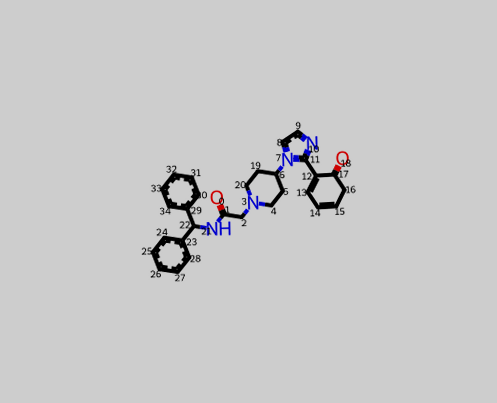 O=C(CN1CCC(n2ccnc2C2=CC=CCC2=O)CC1)NC(c1ccccc1)c1ccccc1